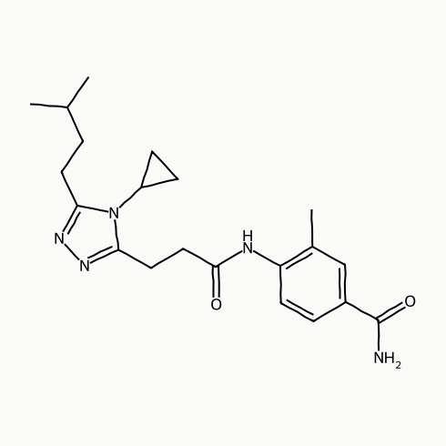 Cc1cc(C(N)=O)ccc1NC(=O)CCc1nnc(CCC(C)C)n1C1CC1